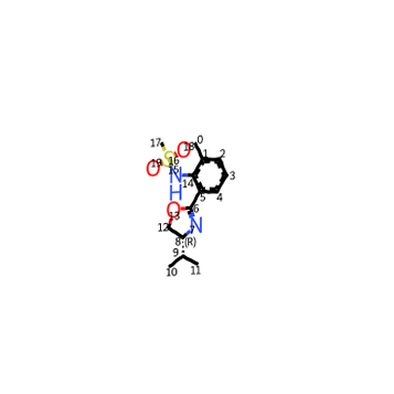 Cc1cccc(C2=N[C@H](C(C)C)CO2)c1NS(C)(=O)=O